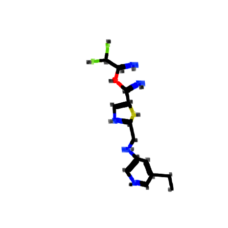 CCc1cncc(NCc2ncc(C(=N)OC(=N)C(F)F)s2)c1